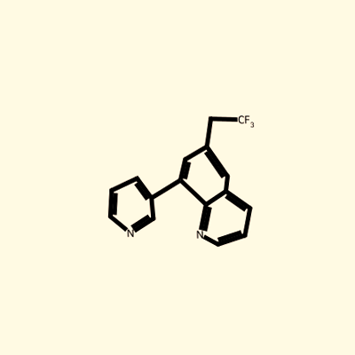 FC(F)(F)Cc1cc(-c2cccnc2)c2ncccc2c1